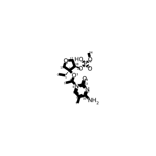 CC[C@]1(OC(C)n2cc(C)c(N)nc2=O)COC[C@H]1OP(=O)(O)OC